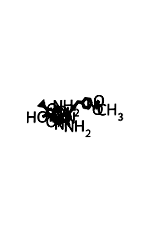 COC(=O)N1CCC(CC#Cc2nc(N)c3ncn(C4(C(N)=O)OC(C5CC5)C(O)C4O)c3n2)CC1